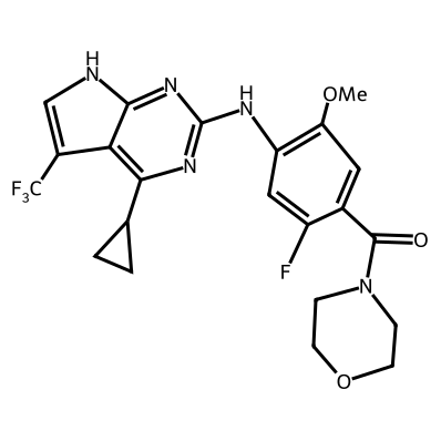 COc1cc(C(=O)N2CCOCC2)c(F)cc1Nc1nc(C2CC2)c2c(C(F)(F)F)c[nH]c2n1